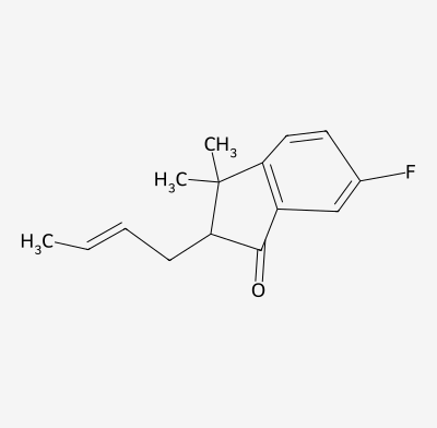 C/C=C/CC1C(=O)c2cc(F)ccc2C1(C)C